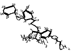 C=CCOc1ccc(C(C=C)(CCCc2cccc(Oc3ccccc3)c2)C(C)C)cc1